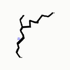 [CH2]CC/C=C/CC(CC)CCCCC[CH2]